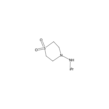 CC(C)NN1CCS(=O)(=O)CC1